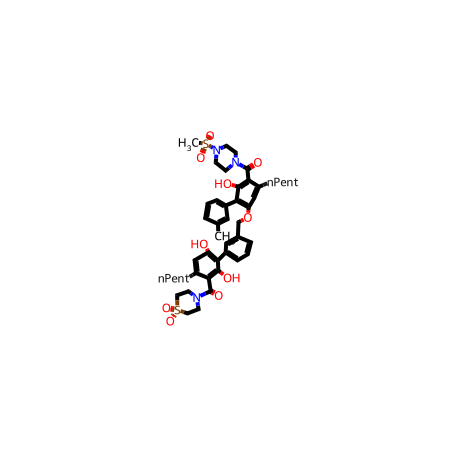 CCCCCc1cc(O)c(-c2cccc(COc3cc(CCCCC)c(C(=O)N4CCN(S(C)(=O)=O)CC4)c(O)c3-c3cccc(C)c3)c2)c(O)c1C(=O)N1CCS(=O)(=O)CC1